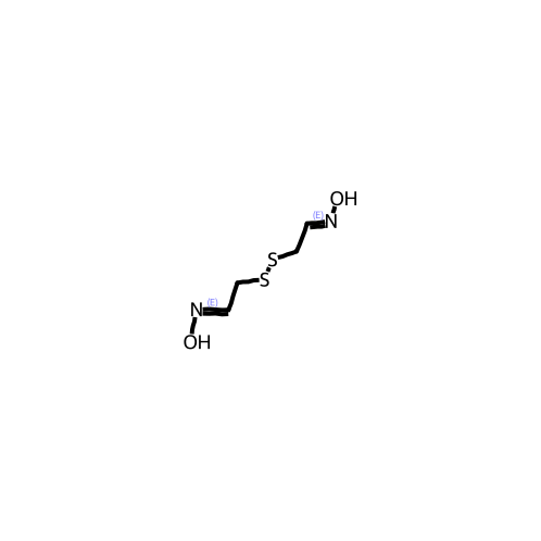 O/N=C/CSSC/C=N/O